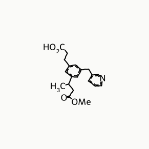 COC(=O)CC(C)c1cc(CCC(=O)O)cc(Cc2cccnc2)c1